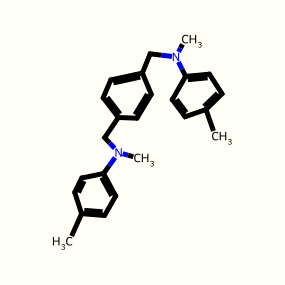 Cc1ccc(N(C)Cc2ccc(CN(C)c3ccc(C)cc3)cc2)cc1